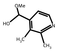 COC(O)c1ccnc(C)c1C